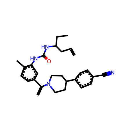 C=CCC(CC)NC(=O)Nc1cc(C(=C)N2CCC(c3ccc(C#N)cc3)CC2)ccc1C